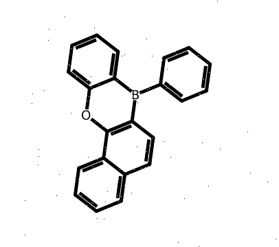 c1ccc(B2c3ccccc3Oc3c2ccc2ccccc32)cc1